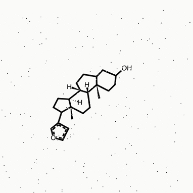 C[C@]12CCC(O)CC1CC[C@@H]1[C@H]2CC[C@]2(C)C(c3ccoc3)CC[C@@H]12